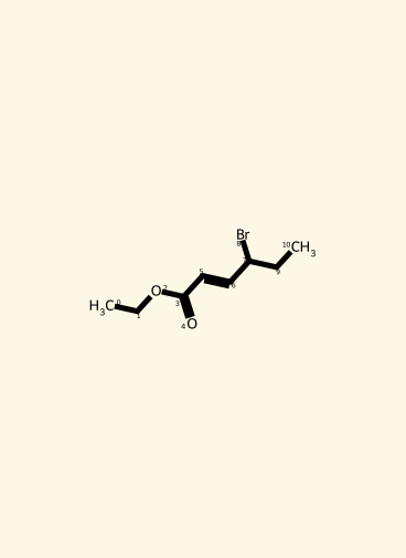 CCOC(=O)/C=C/C(Br)CC